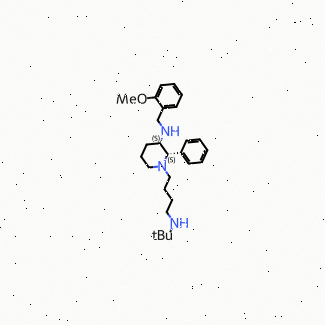 COc1ccccc1CN[C@H]1CCCN(CCCCNC(C)(C)C)[C@H]1c1ccccc1